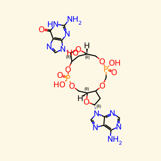 Nc1nc2c(ncn2[C@@H]2O[C@@H]3COP(=O)(O)COC4C[C@H](n5cnc6c(N)ncnc65)O[C@@H]4COP(=O)(O)OC2C3O)c(=O)[nH]1